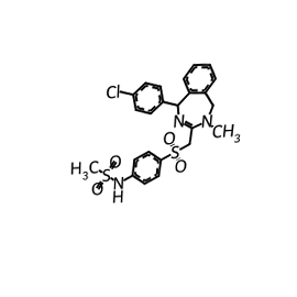 CN1Cc2ccccc2C(c2ccc(Cl)cc2)N=C1CS(=O)(=O)c1ccc(NS(C)(=O)=O)cc1